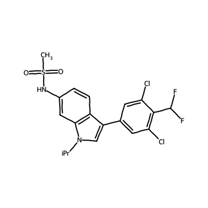 CC(C)n1cc(-c2cc(Cl)c(C(F)F)c(Cl)c2)c2ccc(NS(C)(=O)=O)cc21